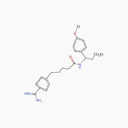 CCOC(=O)CC(NC(=O)CCCCc1ccc(C(=N)N)cc1)c1ccc(OCC)cc1